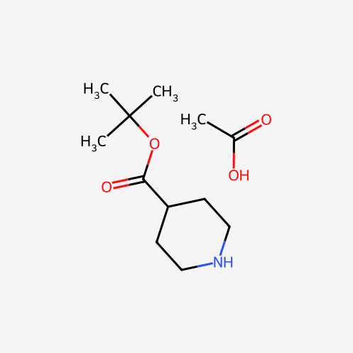 CC(=O)O.CC(C)(C)OC(=O)C1CCNCC1